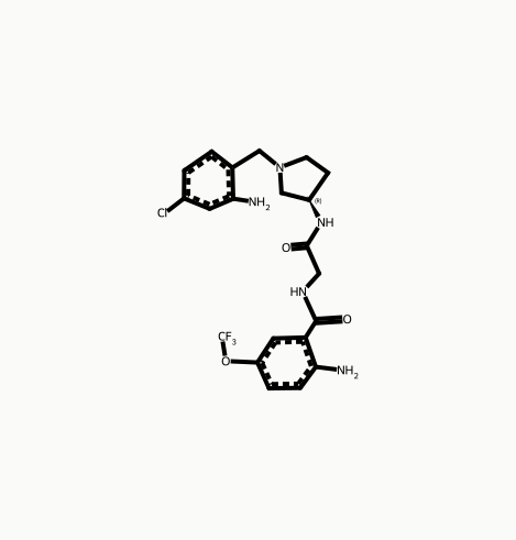 Nc1cc(Cl)ccc1CN1CC[C@@H](NC(=O)CNC(=O)c2cc(OC(F)(F)F)ccc2N)C1